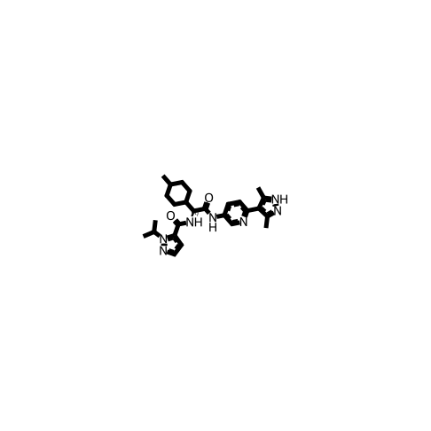 Cc1n[nH]c(C)c1-c1ccc(NC(=O)[C@H](NC(=O)c2ccnn2C(C)C)C2CCC(C)CC2)cn1